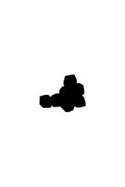 C1=CCCC(C2=CC=C(N(c3ccc(-c4ccccc4)cc3)c3cccc4c5c(oc34)C(c3ccccc3)CC=C5)CC2)=C1